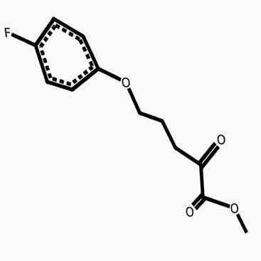 COC(=O)C(=O)CCCOc1ccc(F)cc1